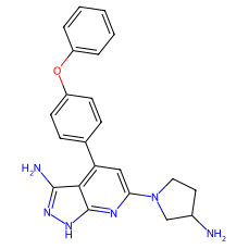 Nc1n[nH]c2nc(N3CCC(N)C3)cc(-c3ccc(Oc4ccccc4)cc3)c12